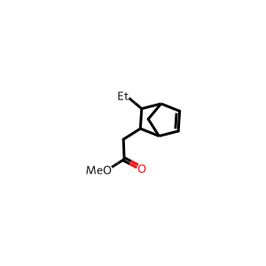 CCC1C2C=CC(C2)C1CC(=O)OC